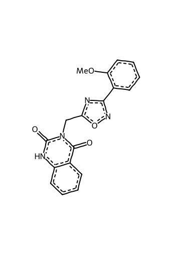 COc1ccccc1-c1noc(Cn2c(=O)[nH]c3ccccc3c2=O)n1